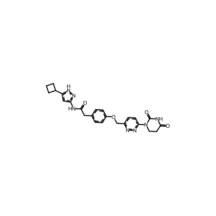 O=C1CCN(c2ccc(COc3ccc(CC(=O)Nc4cc(C5CCC5)[nH]n4)cc3)nn2)C(=O)N1